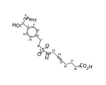 CCCCCC(O)c1ccc(CCS(=O)(=O)NCC#CCCCC(=O)O)cc1